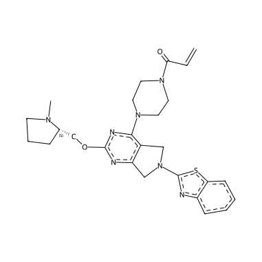 C=CC(=O)N1CCN(c2nc(OC[C@@H]3CCCN3C)nc3c2CN(c2nc4ccccc4s2)C3)CC1